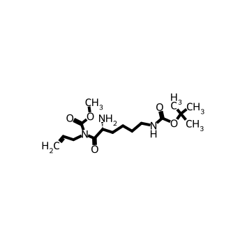 C=CCN(C(=O)OC)C(=O)[C@H](N)CCCCNC(=O)OC(C)(C)C